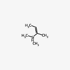 CC=C(C)[SiH](C)C